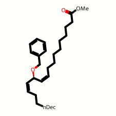 CCCCCCCCCCCC/C=C\[C@H](/C=C\CCCCCCCCC(=O)OC)OCc1ccccc1